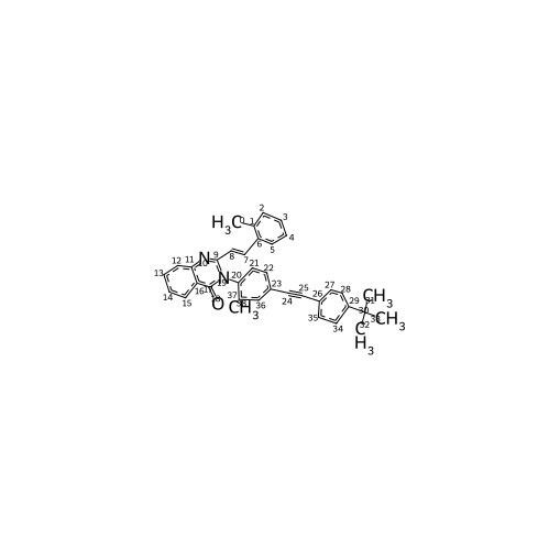 Cc1ccccc1C=Cc1nc2ccccc2c(=O)n1-c1ccc(C#Cc2ccc(C(C)(C)C)cc2)cc1C